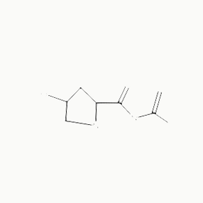 C=C(C)NC(=O)C1CC(O)CN1